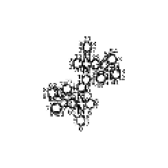 c1ccc(N2c3ccccc3N(c3ccc4cc(N5c6ccccc6N(c6ccccc6)c6cc7c(cc65)C(c5ccccc5)(c5ccccc5)c5ccccc5-7)ccc4c3)c3cc4c(cc32)-c2ccccc2C4(c2ccccc2)c2ccccc2)cc1